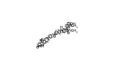 C=CCn1c(=O)c2cnc(Nc3ccc4c(c3)CCN(C(=O)C[C@H]3CC[C@@H](N5CCc6ccc7c(C8CCC(=O)NC8=O)noc7c6CC5)CC3)C4)nc2n1-c1ccc2c(n1)[C@@](O)(CC)CC2